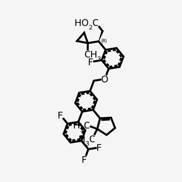 CC1(C)CCC=C1c1cc(COc2cccc([C@H](CC(=O)O)C3(C)CC3)c2F)ccc1-c1cc(C(F)F)ccc1F